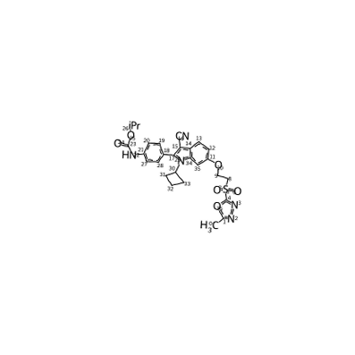 Cc1nnc(S(=O)(=O)CCOc2ccc3c(C#N)c(-c4ccc(NC(=O)OC(C)C)cc4)n(C4CCC4)c3c2)o1